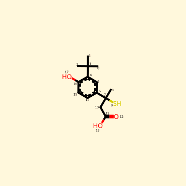 CC(C)(C)c1cc(C(C)(S)CC(=O)O)ccc1O